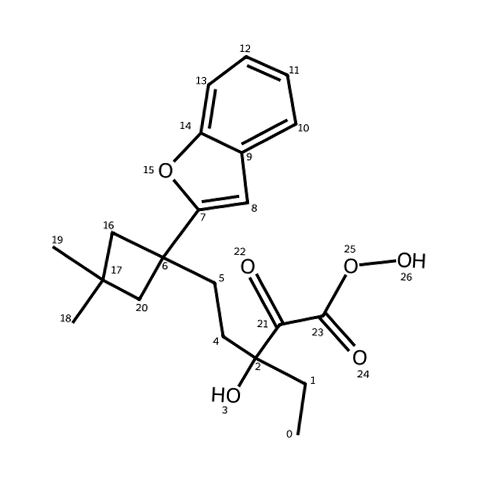 CCC(O)(CCC1(c2cc3ccccc3o2)CC(C)(C)C1)C(=O)C(=O)OO